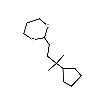 CC(C)(CCC1OCCCO1)C1CCCC1